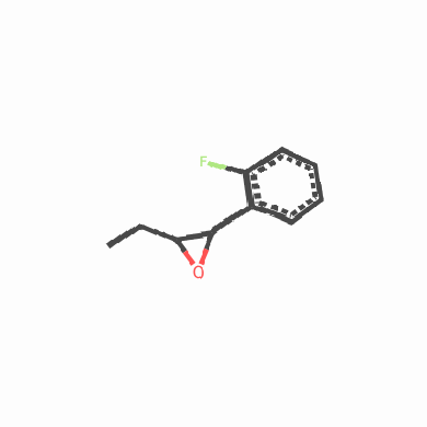 CCC1OC1c1ccccc1F